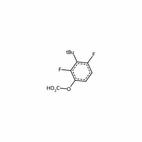 CC(C)(C)c1c(F)ccc(OC(=O)O)c1F